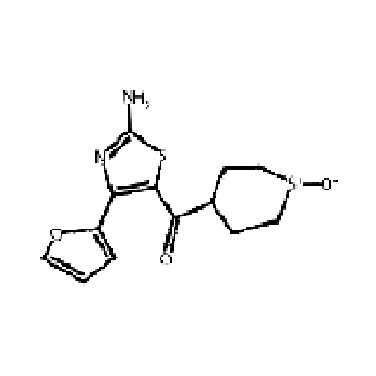 Nc1nc(-c2ccco2)c(C(=O)C2CC[S+]([O-])CC2)s1